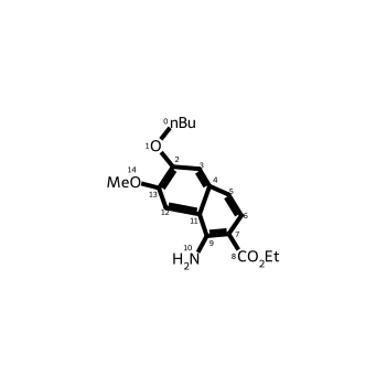 CCCCOc1cc2ccc(C(=O)OCC)c(N)c2cc1OC